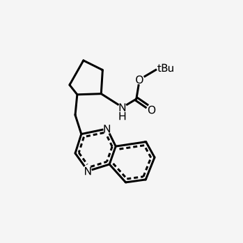 CC(C)(C)OC(=O)NC1CCCC1Cc1cnc2ccccc2n1